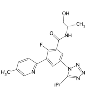 Cc1ccc(-c2cc(-n3nnnc3C(C)C)cc(C(=O)N[C@@H](C)CO)c2F)nc1